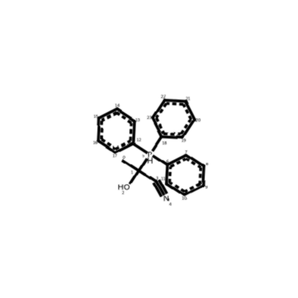 CC(O)(C#N)[PH](c1ccccc1)(c1ccccc1)c1ccccc1